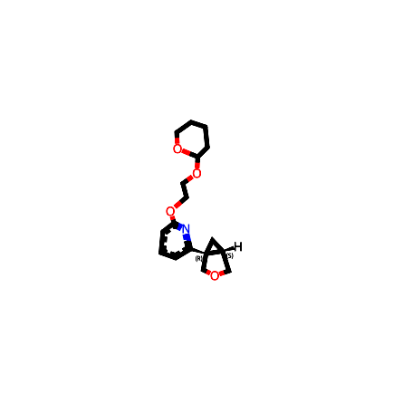 c1cc(OCCOC2CCCCO2)nc([C@]23COC[C@H]2C3)c1